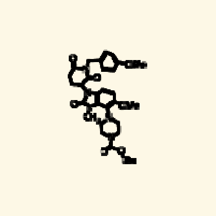 COc1ccc(CN2C(=O)CCC(n3c(=O)n(C)c4c(N5CCN(C(=O)OC(C)(C)C)CC5)c(OC)ccc43)C2=O)cc1